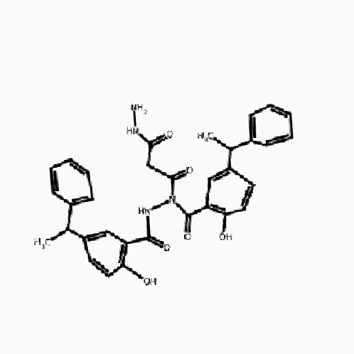 CC(c1ccccc1)c1ccc(O)c(C(=O)NN(C(=O)CC(=O)NN)C(=O)c2cc(C(C)c3ccccc3)ccc2O)c1